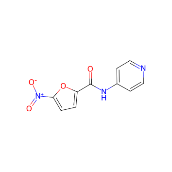 O=C(Nc1ccncc1)c1ccc([N+](=O)[O-])o1